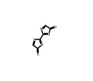 O=C1C=NC(C2=NC(=O)C=N2)=N1